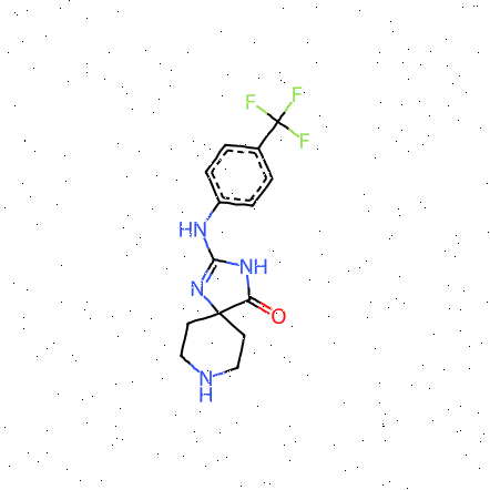 O=C1NC(Nc2ccc(C(F)(F)F)cc2)=NC12CCNCC2